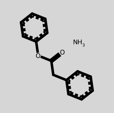 N.O=C(Cc1ccccc1)Oc1ccccc1